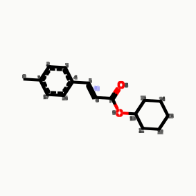 Cc1ccc(/C=C/C(=O)OC2CCCCC2)cc1